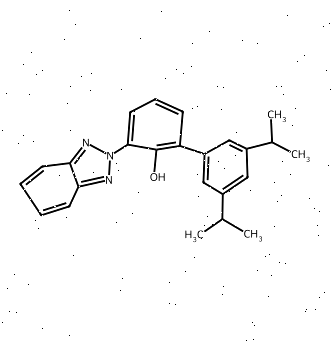 CC(C)c1cc(-c2cccc(-n3nc4ccccc4n3)c2O)cc(C(C)C)c1